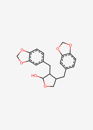 OC1OCC(Cc2ccc3c(c2)OCO3)C1Cc1ccc2c(c1)OCO2